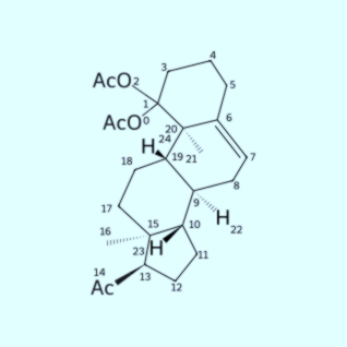 CC(=O)OC1(OC(C)=O)CCCC2=CC[C@H]3[C@@H]4CC[C@@H](C(C)=O)[C@@]4(C)CC[C@@H]3[C@]21C